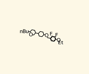 CCCCC1CCC(C2CCC(OCc3ccc(OCC)c(F)c3F)CC2)CO1